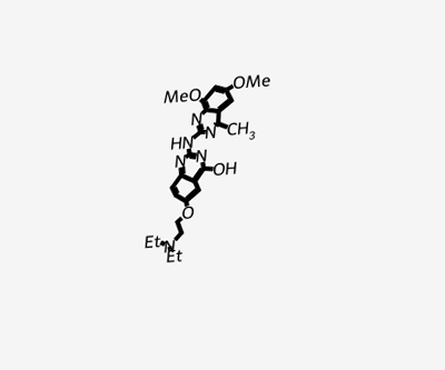 CCN(CC)CCOc1ccc2nc(Nc3nc(C)c4cc(OC)cc(OC)c4n3)nc(O)c2c1